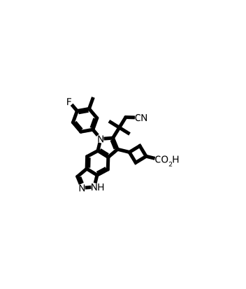 Cc1cc(-n2c(C(C)(C)CC#N)c(C3CC(C(=O)O)C3)c3cc4[nH]ncc4cc32)ccc1F